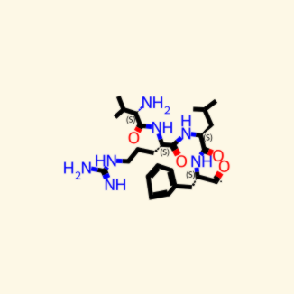 CC(C)C[C@H](NC(=O)[C@H](CCCNC(=N)N)NC(=O)[C@@H](N)C(C)C)C(=O)N[C@H]([C]=O)Cc1ccccc1